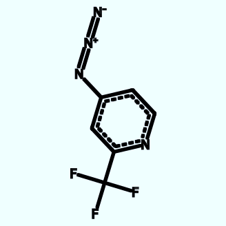 [N-]=[N+]=Nc1ccnc(C(F)(F)F)c1